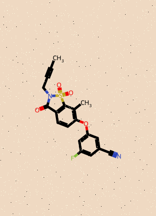 CC#CCN1C(=O)c2ccc(Oc3cc(F)cc(C#N)c3)c(C)c2S1(=O)=O